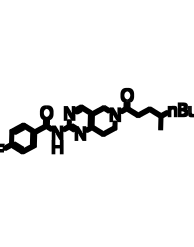 CCCCC(C)CCC(=O)N1CCc2nc(NC(=O)c3ccc(F)cc3)ncc2C1